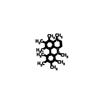 Cc1c(C)c(C)c2c(c1C)-c1c(C)c(C)c(C)c3c1B(C=CN3C)N2C